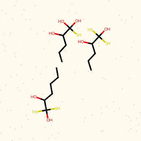 CCCC(O)C(O)(O)S.CCCC(O)C(O)(S)S.CCCCC(O)C(O)(S)S